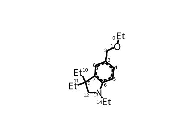 CCOCc1ccc2c(c1)C(CC)(CC)CN2CC